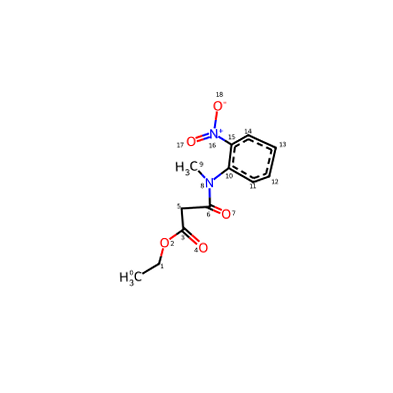 CCOC(=O)CC(=O)N(C)c1ccccc1[N+](=O)[O-]